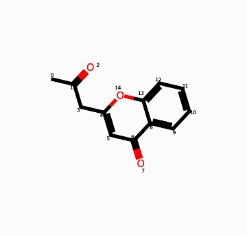 CC(=O)Cc1cc(=O)c2ccccc2o1